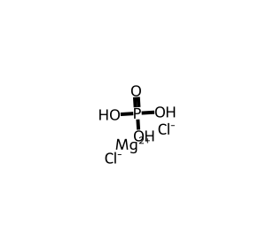 O=P(O)(O)O.[Cl-].[Cl-].[Mg+2]